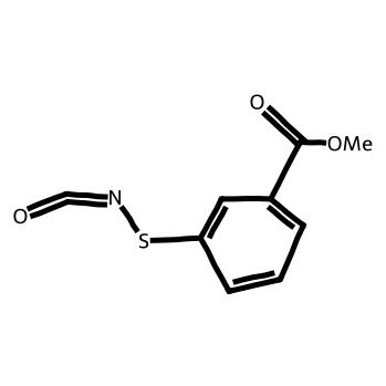 COC(=O)c1cccc(SN=C=O)c1